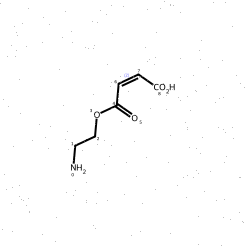 NCCOC(=O)/C=C\C(=O)O